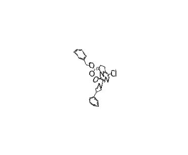 O=C(OCc1ccccc1)[C@@H]1CCc2c(Cl)nc(N3CC(c4ccccc4)C3)c(=O)n21